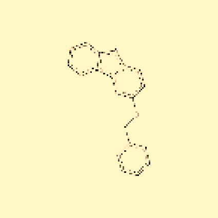 c1ccc(COc2ccc3[nH]c4ccccc4c3c2)cc1